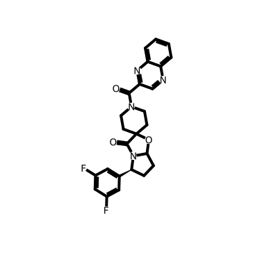 O=C(c1cnc2ccccc2n1)N1CCC2(CC1)OC1CC[C@@H](c3cc(F)cc(F)c3)N1C2=O